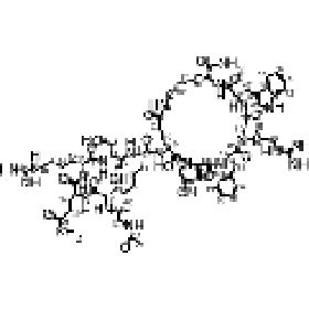 CCCC[C@H](NC(=O)[C@H](CO)NC(=O)[C@H](CCCCNC(=N)N)NC(=O)[C@H](CCC(N)=O)NC(=O)[C@H](CO)NC(=O)CNC(C)=O)C(=O)N[C@H]1CCC(=O)NCCCC[C@@H](C(N)=O)NC(=O)[C@H](Cc2c[nH]c3ccccc23)NC(=O)[C@H](CCCNC(=N)N)NC(=O)[C@@H](Cc2ccccc2)NC(=O)[C@@H]2C[C@@H](O)CN2C1=O